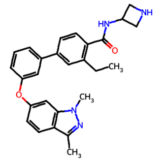 CCc1cc(-c2cccc(Oc3ccc4c(C)nn(C)c4c3)c2)ccc1C(=O)NC1CNC1